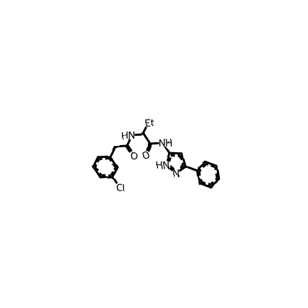 CCC(NC(=O)Cc1cccc(Cl)c1)C(=O)Nc1cc(-c2ccccc2)n[nH]1